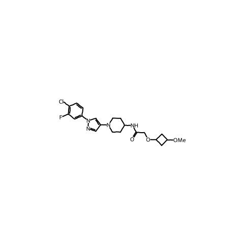 COC1CC(OCC(=O)NC2CCN(c3cnn(-c4ccc(Cl)c(F)c4)c3)CC2)C1